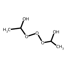 CC(O)OOOC(C)O